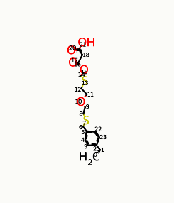 C=Cc1ccc(CSCCOCCSCOC(=O)CC(=O)O)cc1